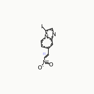 O=[N+]([O-])/C=C/c1ccn2c(I)cnc2c1